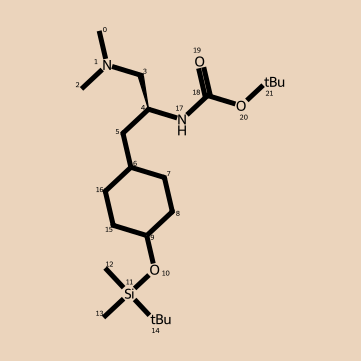 CN(C)C[C@H](CC1CCC(O[Si](C)(C)C(C)(C)C)CC1)NC(=O)OC(C)(C)C